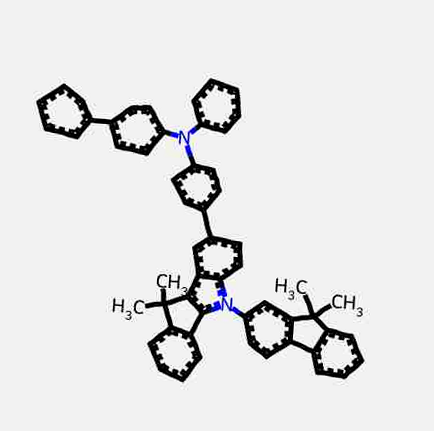 CC1(C)c2ccccc2-c2ccc(-n3c4c(c5cc(-c6ccc(N(c7ccccc7)c7ccc(-c8ccccc8)cc7)cc6)ccc53)C(C)(C)c3ccccc3-4)cc21